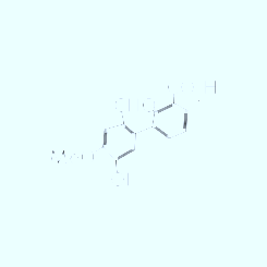 COc1cc(C=O)c(-c2cccc(C(=O)O)c2)cc1O